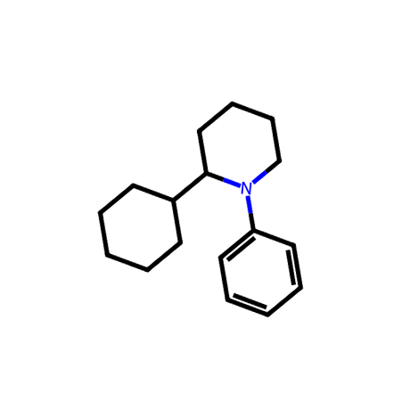 c1ccc(N2CCCCC2C2CCCCC2)cc1